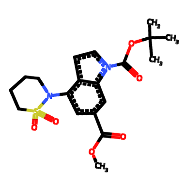 COC(=O)c1cc(N2CCCCS2(=O)=O)c2ccn(C(=O)OC(C)(C)C)c2c1